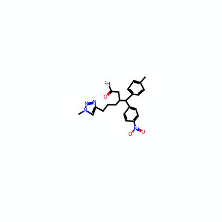 [2H]C(=O)CC(CCCc1cn(C)nn1)C(c1ccc(C)cc1)c1ccc([N+](=O)[O-])cc1